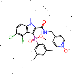 COP(=O)(c1cc(C)cc(C)c1)c1c(C(=O)NCc2cc[n+]([O-])cc2)[nH]c2ccc(Cl)c(F)c12